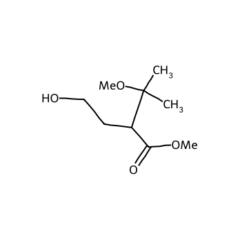 COC(=O)C(CCO)C(C)(C)OC